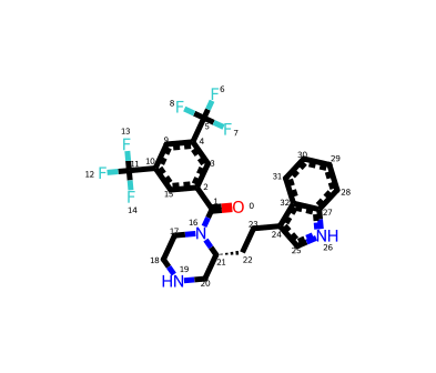 O=C(c1cc(C(F)(F)F)cc(C(F)(F)F)c1)N1CCNC[C@H]1CCc1c[nH]c2ccccc12